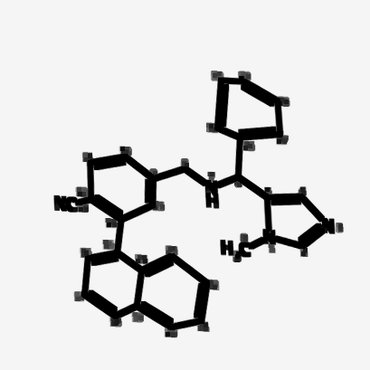 Cn1cncc1C(NCc1ccc(C#N)c(-c2cccc3ccccc23)c1)c1ccccc1